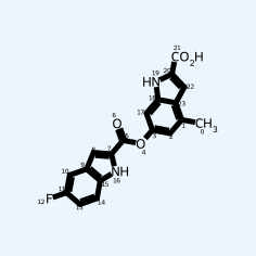 Cc1cc(OC(=O)c2cc3cc(F)ccc3[nH]2)cc2[nH]c(C(=O)O)cc12